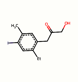 CCc1cc(I)c(C)cc1CC(=O)CO